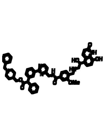 COc1cc(C(=O)NCc2ccnc(-c3cccc(C(C(=O)OCC4CCN(Cc5ccccc5)CC4)c4ccccc4)c3)n2)ccc1CNCC(O)c1ccc(O)c2[nH]c(=O)ccc12